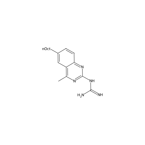 CCCCCCCCc1ccc2nc(NC(=N)N)nc(C)c2c1